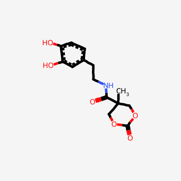 CC1(C(=O)NCCc2ccc(O)c(O)c2)COC(=O)OC1